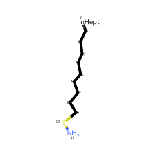 CCCCCCCCCCCCCCCCSN